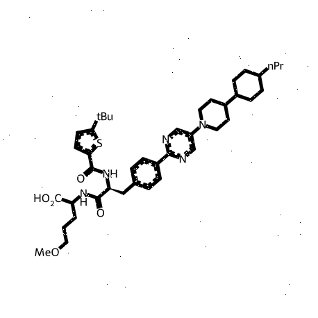 CCCC1CCC(C2CCN(c3cnc(-c4ccc(C[C@H](NC(=O)c5ccc(C(C)(C)C)s5)C(=O)NC(CCCOC)C(=O)O)cc4)nc3)CC2)CC1